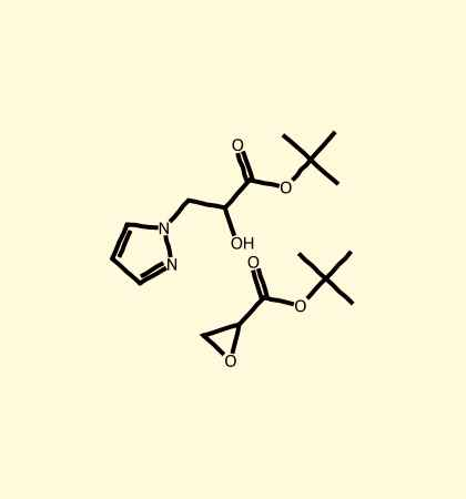 CC(C)(C)OC(=O)C(O)Cn1cccn1.CC(C)(C)OC(=O)C1CO1